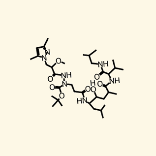 COC(Cn1nc(C)cc1C)C(=O)NN(CCC(=O)NC(CC(C)C)C(O)CC(C)C(=O)NC(C(=O)NCC(C)C)C(C)C)C(=O)OC(C)(C)C